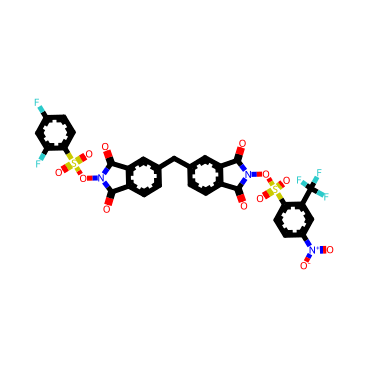 O=C1c2ccc(Cc3ccc4c(c3)C(=O)N(OS(=O)(=O)c3ccc([N+](=O)[O-])cc3C(F)(F)F)C4=O)cc2C(=O)N1OS(=O)(=O)c1ccc(F)cc1F